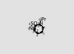 CC(C)c1ccccc1.NS(=O)(=O)O